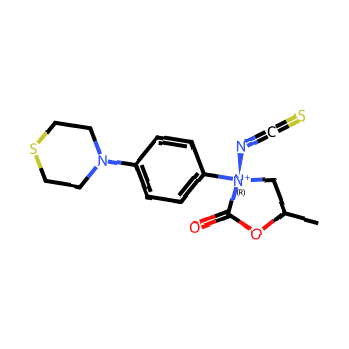 CC1C[N@@+](N=C=S)(c2ccc(N3CCSCC3)cc2)C(=O)O1